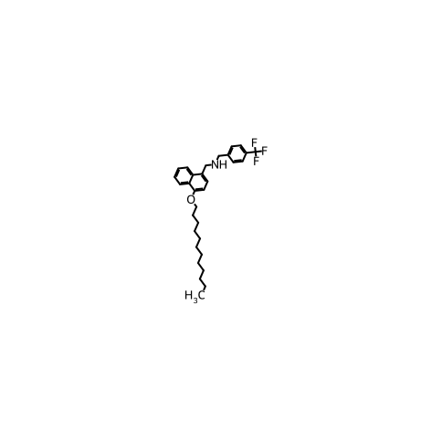 CCCCCCCCCCCCOc1ccc(CNCc2ccc(C(F)(F)F)cc2)c2ccccc12